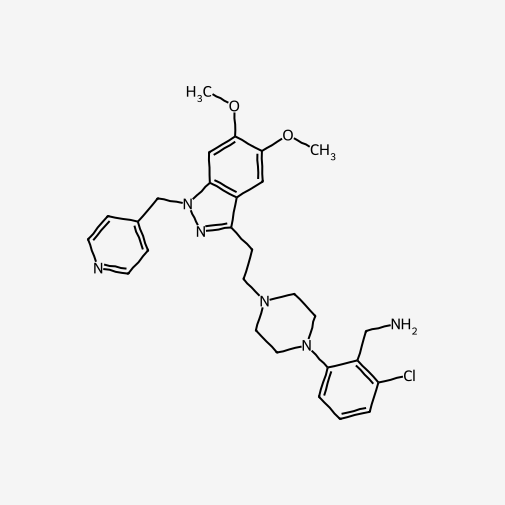 COc1cc2c(CCN3CCN(c4cccc(Cl)c4CN)CC3)nn(Cc3ccncc3)c2cc1OC